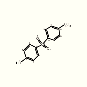 O=S(=O)(c1ccc(O)cc1)c1ccc(C(Cl)(Cl)Cl)cc1